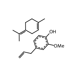 C=CCc1ccc(O)c(OC)c1.CC1=CCC(=C(C)C)CC1